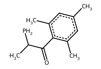 [CH2]C(P)C(=O)c1c(C)cc(C)cc1C